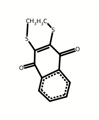 CSC1=C(SC)C(=O)c2ccccc2C1=O